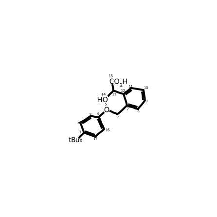 CC(C)(C)c1ccc(OCc2ccccc2C(O)C(=O)O)cc1